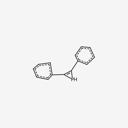 c1ccc(C2=C(c3ccccc3)P2)cc1